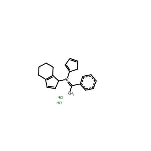 C/[C](c1ccccc1)=[Hf](/[C]1=CC=CC1)[CH]1C=CC2=C1CCCC2.Cl.Cl